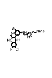 CNCCn1cc(CNc2cc(Br)c3ncc(C#N)c(Nc4ccc(F)c(Cl)c4)c3c2)nn1